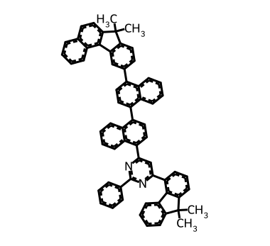 CC1(C)c2ccccc2-c2c(-c3cc(-c4ccc(-c5ccc(-c6ccc7c(c6)-c6c(ccc8ccccc68)C7(C)C)c6ccccc56)c5ccccc45)nc(-c4ccccc4)n3)cccc21